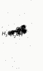 C=C(O)C1[C@@H](CCc2ccc(OC)cc2)C(=O)N1C(=O)NC(c1ccccc1)c1ccccc1